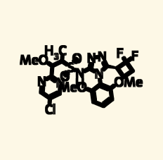 COc1cccc(OC)c1-n1c(NS(=O)(=O)C(C)C(OC)c2ncc(Cl)cn2)nnc1[C@@H]1CCC1(F)F